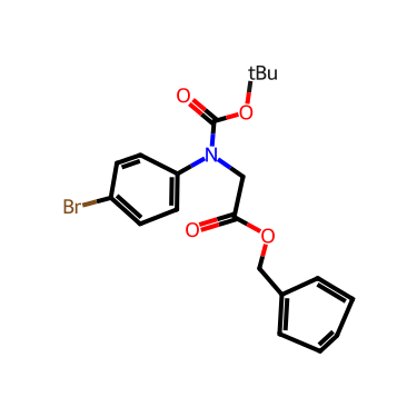 CC(C)(C)OC(=O)N(CC(=O)OCc1ccccc1)c1ccc(Br)cc1